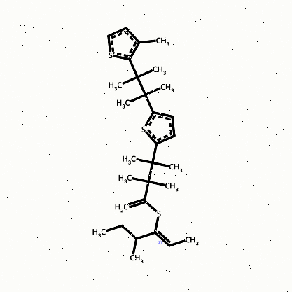 C=C(S/C(=C\C)C(C)CC)C(C)(C)C(C)(C)c1ccc(C(C)(C)C(C)(C)c2sccc2C)s1